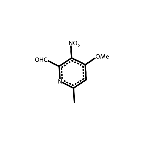 COc1cc(C)nc(C=O)c1[N+](=O)[O-]